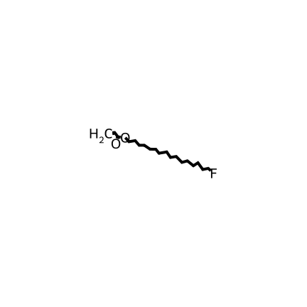 C=CC(=O)OCCCCCCCCCCCCCCCCF